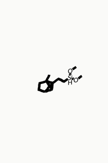 CO[SiH](CCC1=CC2CCC1(C)C2)OC